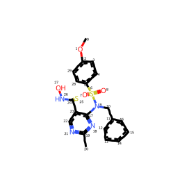 COc1ccc(S(=O)(=O)N(Cc2ccccc2)c2nc(C)ncc2C(=S)NO)cc1